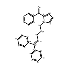 O=C(c1ccccc1)c1nccn1CCCN=C(c1ccccc1)c1ccccc1